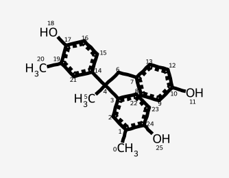 Cc1cc(C(C)(Cc2ccc(O)cc2)c2ccc(O)c(C)c2)ccc1O